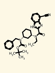 CCN(C(=O)c1nc2c(C#N)cccc2[nH]1)[C@H]1CCC[C@@H](N(Cc2ccccc2)C(=O)OC(C)(C)C)C1